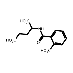 O=C(O)CCC(NC(=O)c1ccccc1C(=O)O)C(=O)O